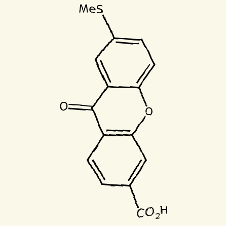 CSc1ccc2oc3cc(C(=O)O)ccc3c(=O)c2c1